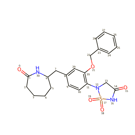 O=C1CCCCC(Cc2ccc(N3CC(=O)NS3(=O)=O)c(OCc3ccccc3)c2)N1